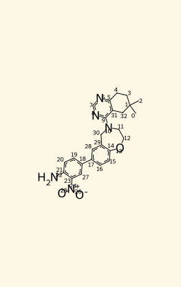 CC1(C)CCc2ncnc(N3CCOc4ccc(-c5ccc(N)c([N+](=O)[O-])c5)cc4C3)c2C1